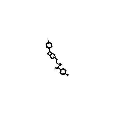 Fc1ccc(C(=S)NCCN2CC3CC(c4ccc(F)cc4)C3C2)cc1